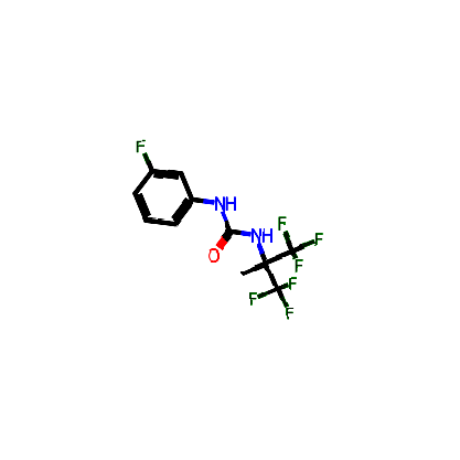 CC(NC(=O)Nc1cccc(F)c1)(C(F)(F)F)C(F)(F)F